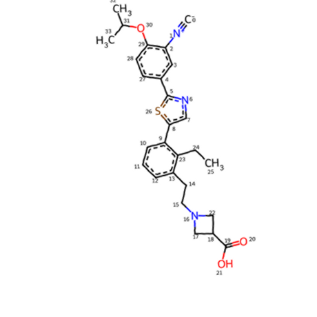 [C-]#[N+]c1cc(-c2ncc(-c3cccc(CCN4CC(C(=O)O)C4)c3CC)s2)ccc1OC(C)C